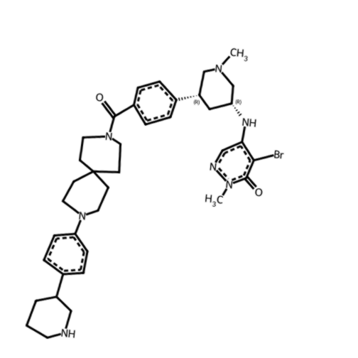 CN1C[C@H](Nc2cnn(C)c(=O)c2Br)C[C@H](c2ccc(C(=O)N3CCC4(CC3)CCN(c3ccc(C5CCCNC5)cc3)CC4)cc2)C1